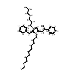 CCCCCCCCCCCC[n+]1c(CC(C)c2ccccc2)cn(CCCCCCC)c1Cc1ccccc1